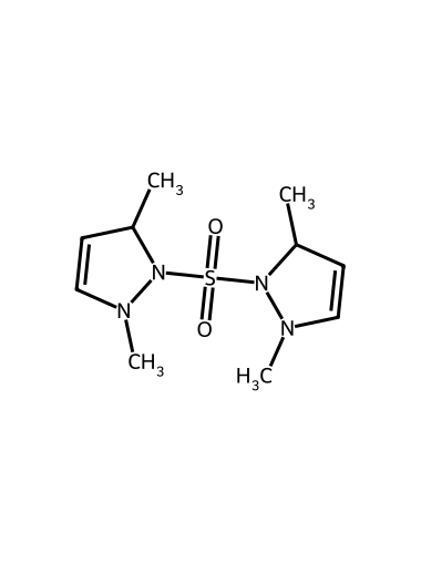 CC1C=CN(C)N1S(=O)(=O)N1C(C)C=CN1C